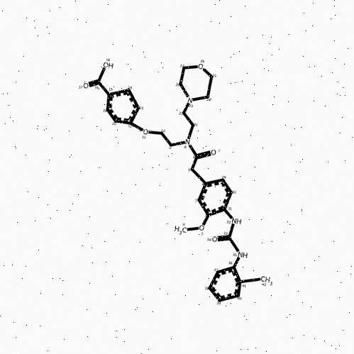 COc1cc(CC(=O)N(CCOc2ccc(C(=O)O)cc2)CCN2CCOCC2)ccc1NC(=O)Nc1ccccc1C